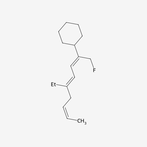 C/C=C\C/C(=C/C=C(\CF)C1CCCCC1)CC